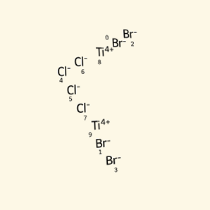 [Br-].[Br-].[Br-].[Br-].[Cl-].[Cl-].[Cl-].[Cl-].[Ti+4].[Ti+4]